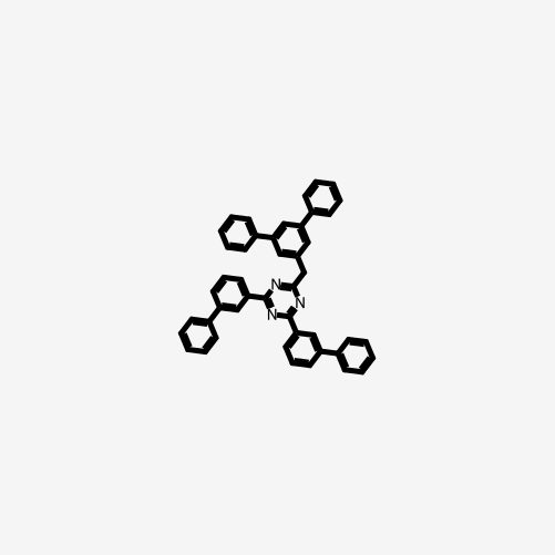 c1ccc(-c2cc(Cc3nc(-c4cccc(-c5ccccc5)c4)nc(-c4cccc(-c5ccccc5)c4)n3)cc(-c3ccccc3)c2)cc1